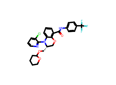 O=C(Nc1ccc(C(F)(F)F)cc1)c1cccc2c1OC[C@H](COC1CCCCO1)N2c1ncccc1Cl